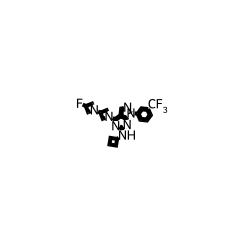 FC1CN(C2CN(c3nc(NC4CCC4)nc4c3cnn4-c3cccc(C(F)(F)F)c3)C2)C1